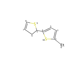 CCc1ccc(C2CC=CS2)s1